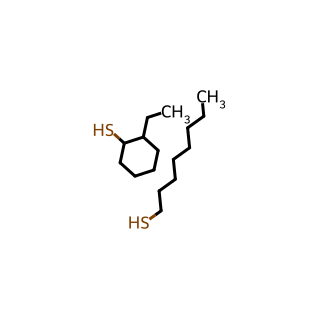 CCC1CCCCC1S.CCCCCCCCS